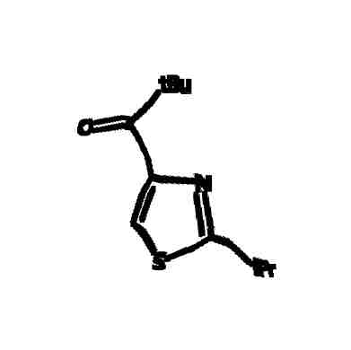 CC(C)c1nc(C(=O)C(C)(C)C)cs1